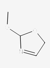 COC1N=[C]CO1